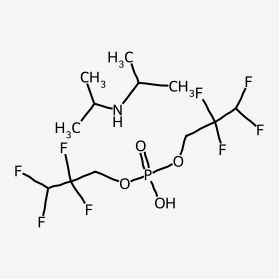 CC(C)NC(C)C.O=P(O)(OCC(F)(F)C(F)F)OCC(F)(F)C(F)F